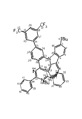 CC(C)(C)c1ccc2c3ccc(C(C)(C)C)cc3n(-c3cc(-c4cc(C(F)(F)F)cc(C(F)(F)F)c4)ccc3-c3nc(-c4ccccc4)nc(-c4ccccc4)n3)c2c1